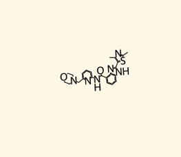 Cc1nc(C)c(-c2nc3c(C(=O)Nc4cccc(CN5CCOCC5)n4)cccc3[nH]2)s1